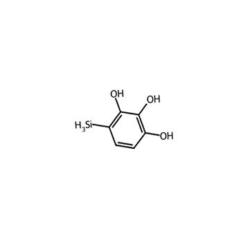 Oc1ccc([SiH3])c(O)c1O